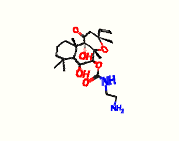 C=C[C@@]1(C)CC(=O)[C@]2(O)[C@@]3(C)CCCC(C)(C)C3[C@H](O)[C@H](OC(=O)NCCN)[C@@]2(C)O1